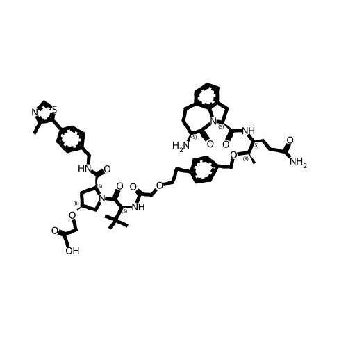 Cc1ncsc1-c1ccc(CNC(=O)[C@@H]2C[C@@H](OCC(=O)O)CN2C(=O)[C@@H](NC(=O)COCCc2ccc(CO[C@H](C)[C@H](CCC(N)=O)NC(=O)[C@@H]3Cc4cccc5c4N3C(=O)[C@@H](N)CC5)cc2)C(C)(C)C)cc1